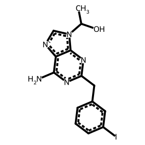 CC(O)n1cnc2c(N)nc(Cc3cccc(I)c3)nc21